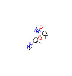 Cc1cc(-c2cc(C)n(C)n2)c(C)cc1OCc1c(C)cccc1-n1nnn(C)c1=O